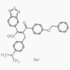 CN(C)c1ccc(CC(C(=O)c2ccc(OCc3ccccc3)cc2)=C(C(=O)[O-])c2ccc3nsnc3c2)cc1.[Na+]